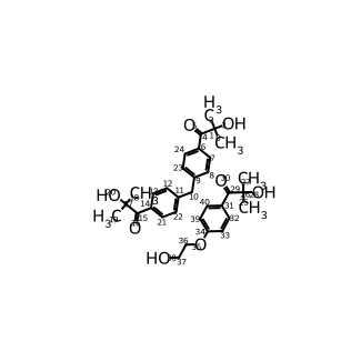 CC(C)(O)C(=O)c1ccc(Cc2ccc(C(=O)C(C)(C)O)cc2)cc1.CC(C)(O)C(=O)c1ccc(OCCO)cc1